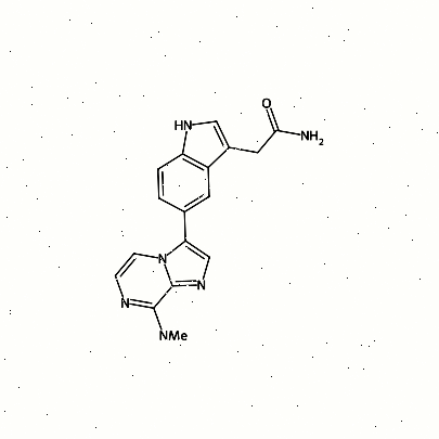 CNc1nccn2c(-c3ccc4[nH]cc(CC(N)=O)c4c3)cnc12